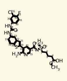 COC(O)CCCCS(C)(=O)=NC(=O)c1cnc(N)c(-c2cc3cc(NC(=O)Nc4ccc(F)c(Cl)c4)ccc3s2)c1